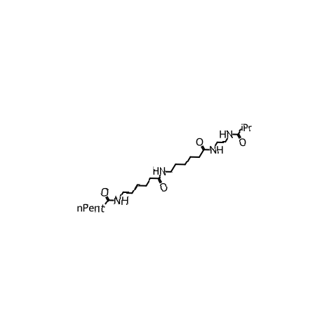 CCCCCC(=O)NCCCCCC(=O)NCCCCCC(=O)NCCNC(=O)C(C)C